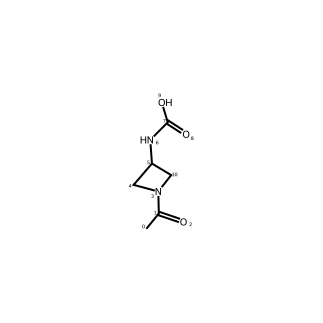 CC(=O)N1CC(NC(=O)O)C1